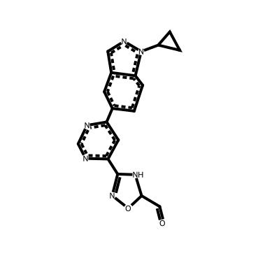 O=CC1NC(c2cc(-c3ccc4c(cnn4C4CC4)c3)ncn2)=NO1